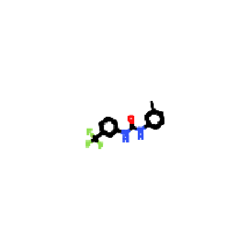 Cc1cccc(NC(=O)Nc2cccc(C(F)(F)F)c2)c1